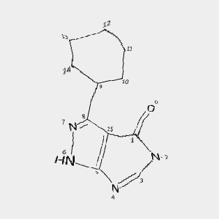 O=C1[N]C=Nc2[nH]nc(C3CCCCC3)c21